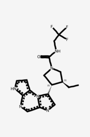 CC[C@@H]1CN(C(=O)NCC(F)(F)F)C[C@H]1c1cnc2cnc3[nH]ccc3n12